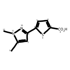 Cc1cc(-c2ccc(C(=O)O)s2)nn1C